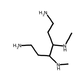 CNC(CCN)C(CCN)NC